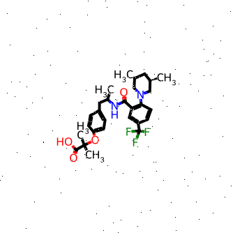 CC(Cc1ccc(OC(C)(C)C(=O)O)cc1)NC(=O)c1cc(C(F)(F)F)ccc1N1C[C@H](C)C[C@H](C)C1